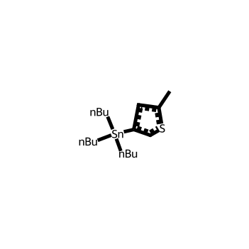 CCC[CH2][Sn]([CH2]CCC)([CH2]CCC)[c]1csc(C)c1